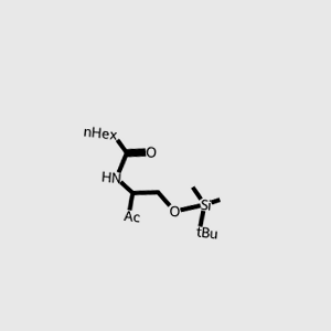 CCCCCCC(=O)NC(CO[Si](C)(C)C(C)(C)C)C(C)=O